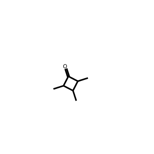 CC1C(=O)C(C)C1C